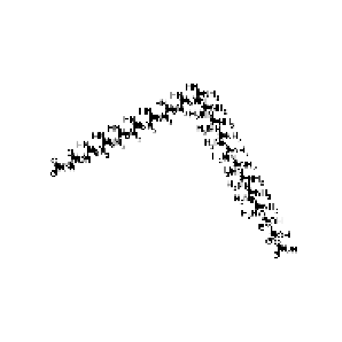 N=C(N)N.N=C(N)N.N=C(N)N.N=C(N)N.N=C(N)N.N=C(N)N.N=C(N)N.N=C(N)N.N=C(N)N.N=C(N)N.N=C(N)N.N=C(N)N.N=C(N)N.N=C(N)N.N=C(N)N.N=C(N)N.O=[N+]([O-])O.O=[N+]([O-])O.O=[N+]([O-])O.O=[N+]([O-])O.O=[N+]([O-])O